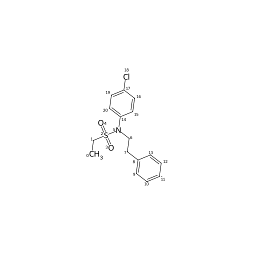 CCS(=O)(=O)N(CCc1cc[c]cc1)c1ccc(Cl)cc1